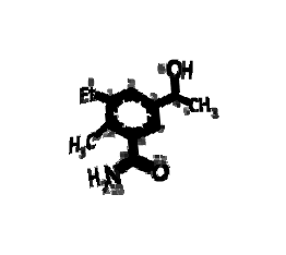 CCc1cc(C(C)O)cc(C(N)=O)c1C